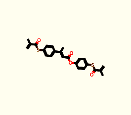 C=C(C)C(=O)Sc1ccc(OC(=O)/C=C(\C)c2ccc(SC(=O)C(=C)C)cc2)cc1